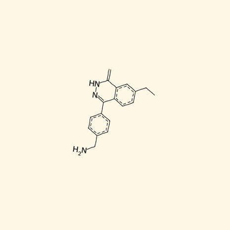 C=C1NN=C(c2ccc(CN)cc2)c2ccc(CC)cc21